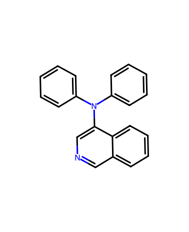 c1ccc(N(c2ccccc2)c2cncc3ccccc23)cc1